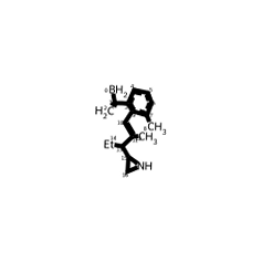 BC(=C)c1cccc(C)c1/C=C(\C)C(CC)C1CN1